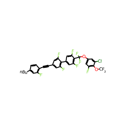 CCCCc1ccc(C#Cc2cc(F)c(-c3cc(F)c(C(F)(F)Oc4cc(F)c(OC(F)(F)F)c(Cl)c4)c(F)c3)c(F)c2)c(F)c1